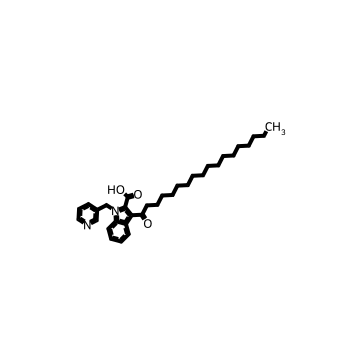 CCCCCCCCCCCCCCCCCC(=O)c1c(C(=O)O)n(Cc2cccnc2)c2ccccc12